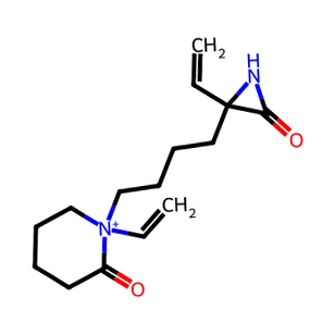 C=CC1(CCCC[N+]2(C=C)CCCCC2=O)NC1=O